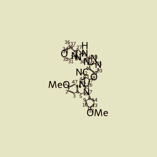 COc1ccc(CN(Cc2ccc(OC)cc2)c2cc(Oc3cnc4nc(Nc5cc6n(n5)CCOCC6(C)C)n(C)c4c3C#N)ccn2)cc1